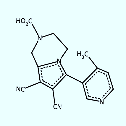 Cc1ccncc1-c1c(C#N)c(C#N)c2n1CCN(C(=O)O)C2